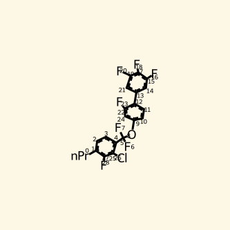 CCCc1ccc(C(F)(F)Oc2ccc(-c3cc(F)c(F)c(F)c3)c(F)c2)c(Cl)c1F